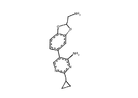 NCC1Oc2ccc(-c3cnc(C4CC4)nc3N)cc2O1